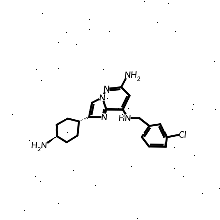 Nc1cc(NCc2cccc(Cl)c2)c2nc([C@H]3CC[C@H](N)CC3)cn2n1